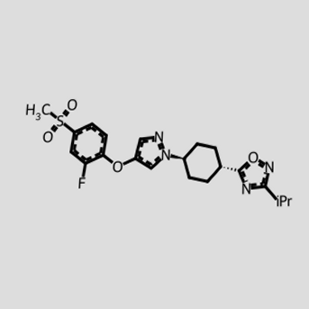 CC(C)c1noc([C@H]2CC[C@H](n3cc(Oc4ccc(S(C)(=O)=O)cc4F)cn3)CC2)n1